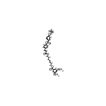 Nc1cc(N)cc(C(=O)OCCCCCCCOC(=O)/C=C/c2ccc(OC(=O)c3ccc(OCC(F)(F)F)cc3)cc2)c1